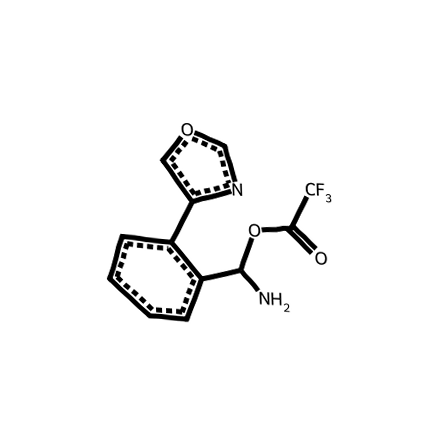 NC(OC(=O)C(F)(F)F)c1ccccc1-c1cocn1